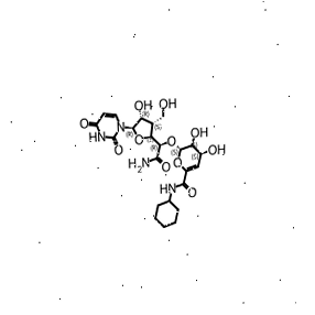 NC(=O)[C@H](O[C@H]1OC(C(=O)NC2CCCCC2)=C[C@H](O)[C@@H]1O)[C@H]1O[C@@H](n2ccc(=O)[nH]c2=O)[C@H](O)[C@@H]1CO